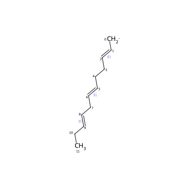 [CH2]/C=C/CC/C=C/C/C=C/CC